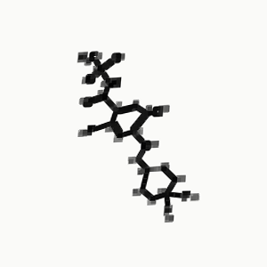 CS(=O)(=O)NC(=O)c1cc(Cl)c(OCC2CCC(F)(F)CC2)cc1F